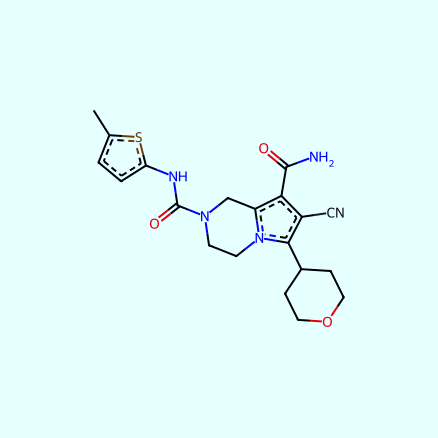 Cc1ccc(NC(=O)N2CCn3c(c(C(N)=O)c(C#N)c3C3CCOCC3)C2)s1